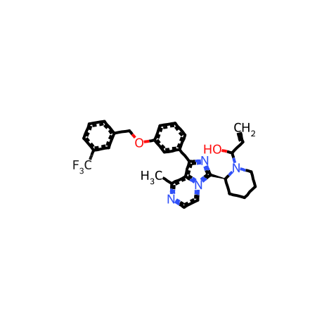 C=CC(O)N1CCCC[C@H]1c1nc(-c2cccc(OCc3cccc(C(F)(F)F)c3)c2)c2c(C)nccn12